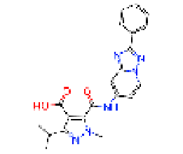 CC(C)c1nn(C)c(C(=O)Nc2ccn3nc(-c4ccccc4)nc3c2)c1C(=O)O